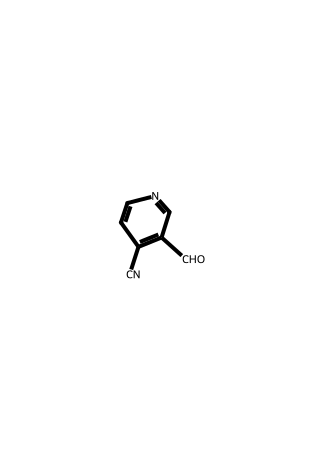 N#Cc1ccncc1C=O